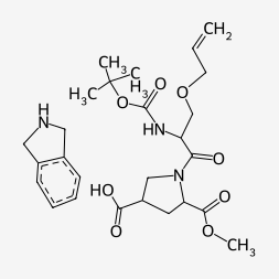 C=CCOCC(NC(=O)OC(C)(C)C)C(=O)N1CC(C(=O)O)CC1C(=O)OC.c1ccc2c(c1)CNC2